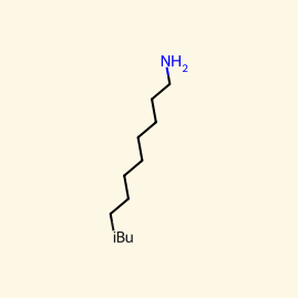 CCC(C)CCCCCCCCN